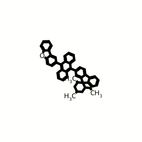 CCC1CC(C)CC(C)C12c1ccccc1-c1ccc(-c3c4ccccc4c(-c4ccc5oc6ccccc6c5c4)c4ccccc34)cc12